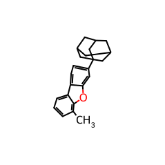 Cc1cccc2c1oc1cc(C34CC5CC(CC(C5)C3)C4)ccc12